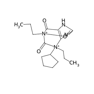 CCC[N+]12Oc3nc(c([nH]3)C1=O)[N+](CCC)(C1CCCC1)C2=O